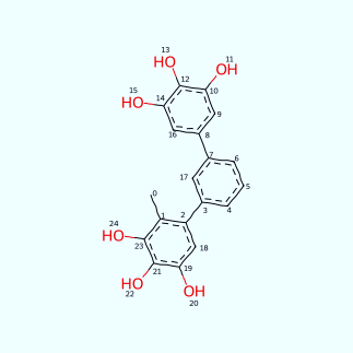 Cc1c(-c2cccc(-c3cc(O)c(O)c(O)c3)c2)cc(O)c(O)c1O